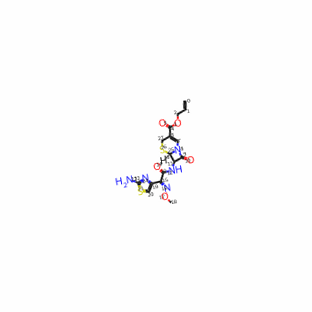 C=CCOC(=O)C1=CN2C(=O)C(NC(=O)C(=NOC)c3csc(N)n3)[C@H]2SC1